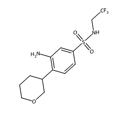 Nc1cc(S(=O)(=O)NCC(F)(F)F)ccc1C1CCCOC1